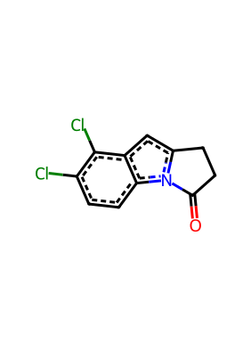 O=C1CCc2cc3c(Cl)c(Cl)ccc3n21